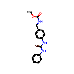 CC(C)(C)OC(=O)NCc1ccc(NC(=S)Nc2ccccc2)cc1